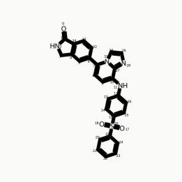 O=C1NCc2cc(-c3ccc(Nc4ccc(S(=O)(=O)c5ccccc5)cc4)c4nccn34)ccc21